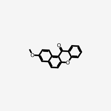 COc1ccc2c(ccc3oc4ccccc4c(=O)c32)c1